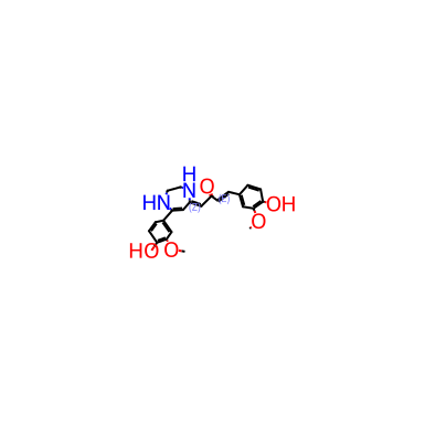 COc1cc(/C=C/C(=O)/C=C2/C=C(c3ccc(O)c(OC)c3)NCCN2)ccc1O